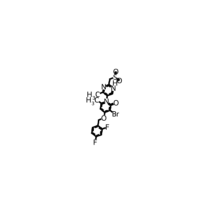 Cc1nc(C[SH](=O)=O)ncc1-n1c(C)cc(OCc2ccc(F)cc2F)c(Br)c1=O